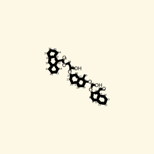 Cc1c(OC(O)Oc2ccc3ccccc3c2C=O)ccc2ccc(OC(O)COC(=O)c3c4ccccc4cc4ccccc34)cc12